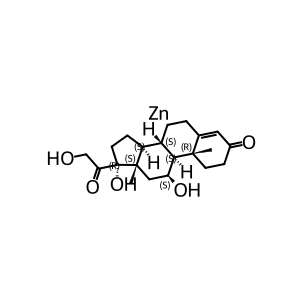 C[C@]12CCC(=O)C=C1CC[C@@H]1[C@@H]2[C@@H](O)C[C@@]2(C)[C@H]1CC[C@]2(O)C(=O)CO.[Zn]